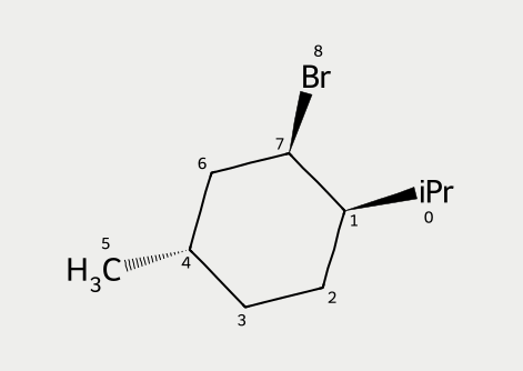 CC(C)[C@H]1CC[C@H](C)C[C@H]1Br